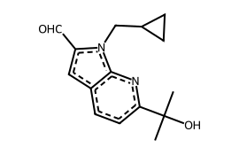 CC(C)(O)c1ccc2cc(C=O)n(CC3CC3)c2n1